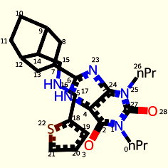 CCCn1c(=O)c2[nH]c(C3CC4CCC(C3)C4CNCc3cccs3)nc2n(CCC)c1=O